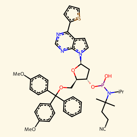 COc1ccc(C(OC[C@H]2O[C@@H](n3ccc4c(-c5cccs5)ncnc43)C[C@@H]2OP(O)N(C(C)C)C(C)(C)CCC#N)(c2ccccc2)c2ccc(OC)cc2)cc1